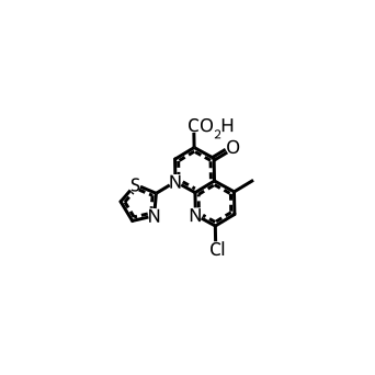 Cc1cc(Cl)nc2c1c(=O)c(C(=O)O)cn2-c1nccs1